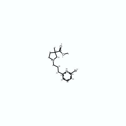 COC(=O)C1(C)CCN(CCCc2cccc(Br)n2)C1